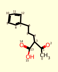 CC(=O)C(CCCc1ccccc1)C(=O)O